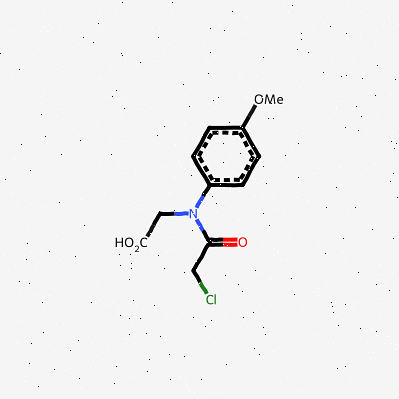 COc1ccc(N(CC(=O)O)C(=O)CCl)cc1